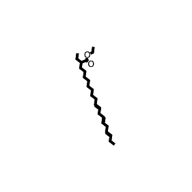 CCC=CCC=CCC=CCCCCCCCCC(CC)C(=O)OCC